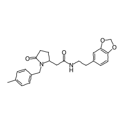 Cc1ccc(CN2C(=O)CCC2CC(=O)NCCc2ccc3c(c2)OCO3)cc1